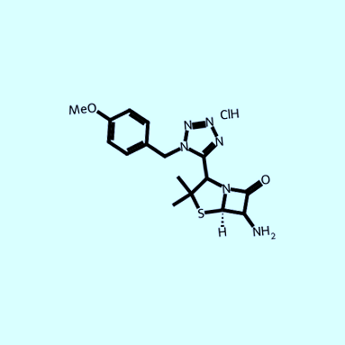 COc1ccc(Cn2nnnc2C2N3C(=O)C(N)[C@H]3SC2(C)C)cc1.Cl